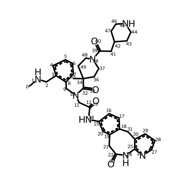 CNCc1ccccc1CN(CC(=O)Nc1ccc2c(c1)CC(=O)Nc1ncccc1C2)C(=O)C1(C)CCN(C(=O)CC2CCNCC2)CC1